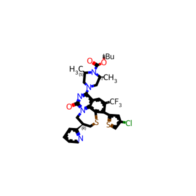 C[C@@H]1CN(c2nc(=O)n3c4c(c(-c5cc(Cl)cs5)c(C(F)(F)F)cc24)SC[C@@H](c2ccccn2)C3)C[C@H](C)N1C(=O)OC(C)(C)C